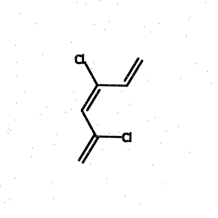 C=C/C(Cl)=C\C(=C)Cl